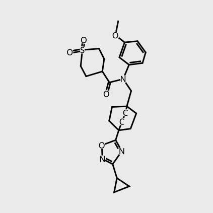 COc1cccc(N(CC23CCC(c4nc(C5CC5)no4)(CC2)CC3)C(=O)C2CCS(=O)(=O)CC2)c1